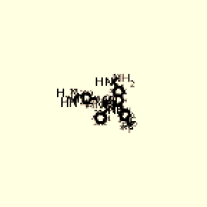 N=C(N)c1ccc(CC(C(=O)N[C@H](C(=O)NCC2CCN(C(=N)N)CC2)C2CCCCC2)c2ccc(C(F)(F)F)cc2)cc1